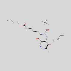 CCCCOC(=O)CCCCCN(Cc1c(C=O)cnc(C)c1OCCCC)C(=O)OC(C)(C)C